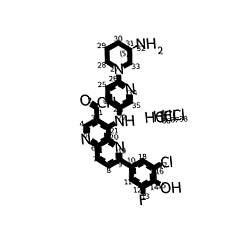 CC(=O)c1cnc2ccc(-c3cc(F)c(O)c(Cl)c3)nc2c1Nc1ccc(N2CCC[C@H](N)C2)nc1.Cl.Cl.Cl